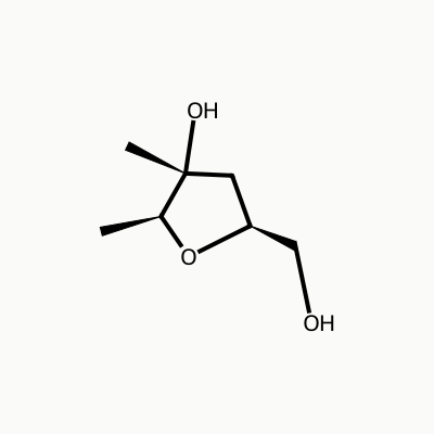 C[C@@H]1O[C@H](CO)C[C@@]1(C)O